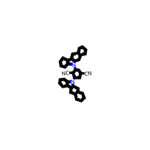 N#Cc1cc(-n2c3ccccc3c3cc4ccccc4cc32)c(C#N)c(-n2c3ccccc3c3cc4ccccc4cc32)c1